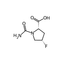 NC(=O)N1C[C@@H](F)C[C@H]1C(=O)O